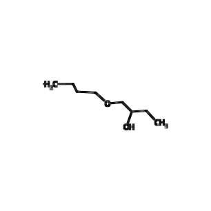 [CH2]CCCOCC(O)CC